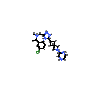 CC1c2cc(Cl)ccc2-n2c(nnc2C2CC3(C2)CN(c2cnccn2)C3)CN1C